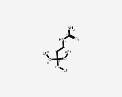 CCOC(CCNC(N)=O)(OCC)OCC